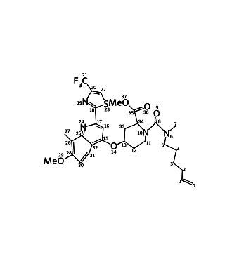 C=CCCCCN(C)C(=O)N1CCC(Oc2cc(-c3nc(C(F)(F)F)cs3)nc3c(C)c(OC)ccc23)CC1C(=O)OC